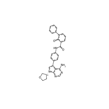 Nc1ncnc2c1c(-c1ccc(NC(=O)c3cccn(-c4ccccc4)c3=O)cc1)cn2[C@@H]1CCOC1